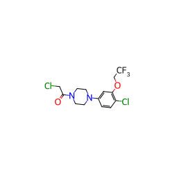 O=C(CCl)N1CCN(c2ccc(Cl)c(OCC(F)(F)F)c2)CC1